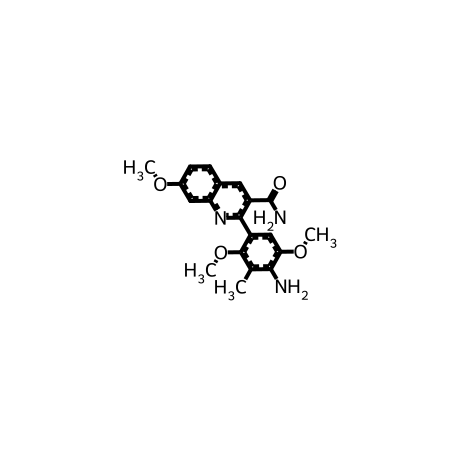 COc1ccc2cc(C(N)=O)c(-c3cc(OC)c(N)c(C)c3OC)nc2c1